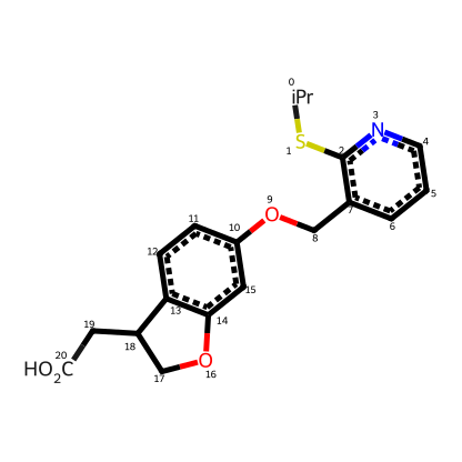 CC(C)Sc1ncccc1COc1ccc2c(c1)OCC2CC(=O)O